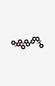 c1ccc(-c2nc3ccc4ccc5cc(-c6cccc7c(N(c8ccccc8)c8ccccc8-c8ccc9c(c8)oc8ccccc89)cccc67)ccc5c4c3o2)cc1